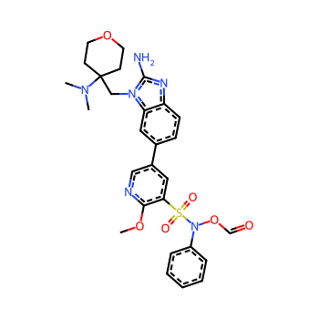 COc1ncc(-c2ccc3nc(N)n(CC4(N(C)C)CCOCC4)c3c2)cc1S(=O)(=O)N(OC=O)c1ccccc1